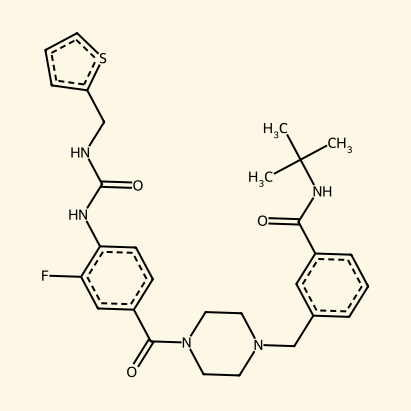 CC(C)(C)NC(=O)c1cccc(CN2CCN(C(=O)c3ccc(NC(=O)NCc4cccs4)c(F)c3)CC2)c1